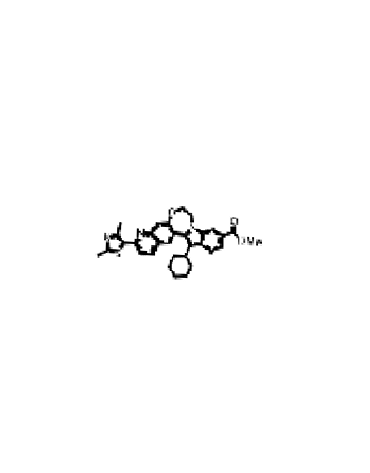 COC(=O)c1ccc2c(C3CCCCC3)c3n(c2c1)CCOc1cc2nc(-c4sc(C)nc4C)ccc2cc1-3